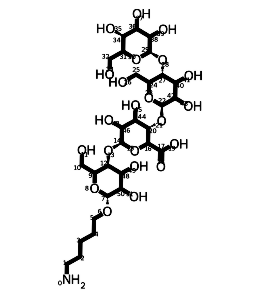 NCCCCCO[C@@H]1OC(CO)[C@@H](O[C@@H]2OC(C(=O)O)[C@@H](O[C@H]3OC(CO)[C@H](O[C@H]4OC(CO)[C@@H](O)C(O)C4O)C(O)C3O)C(O)C2O)C(O)C1O